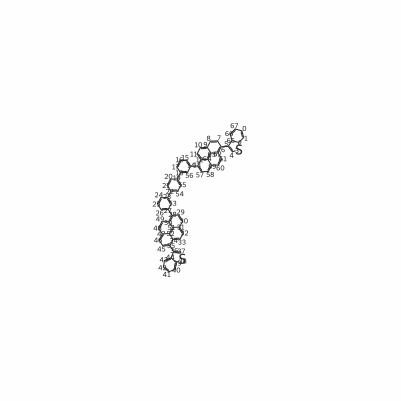 C1=CC2SC=C(c3ccc4ccc5c(-c6cccc(-c7ccc(-c8cccc(-c9ccc%10ccc%11c(-c%12csc%13ccccc%12%13)ccc%12ccc9c%10c%12%11)c8)cc7)c6)ccc6ccc3c4c65)C2C=C1